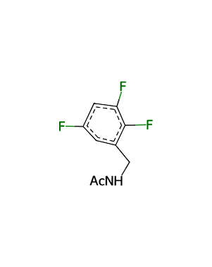 CC(=O)NCc1cc(F)cc(F)c1F